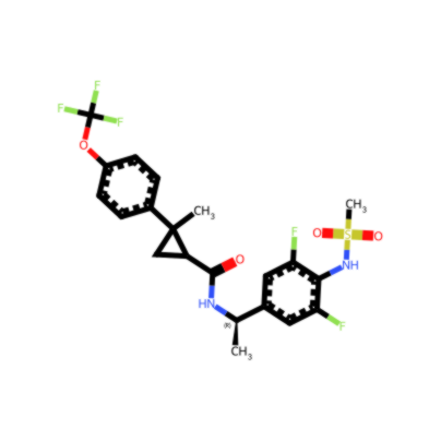 C[C@@H](NC(=O)C1CC1(C)c1ccc(OC(F)(F)F)cc1)c1cc(F)c(NS(C)(=O)=O)c(F)c1